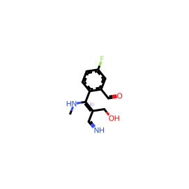 CN/C(=C(\C=N)CO)c1ccc(F)cc1C=O